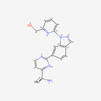 CCCC[C@H](N)c1ccnc(-c2ccc3cnn(-c4cccc(CO)n4)c3c2)n1